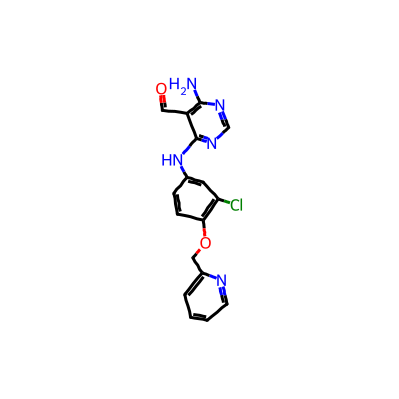 Nc1ncnc(Nc2ccc(OCc3ccccn3)c(Cl)c2)c1C=O